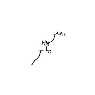 CCC[CH]C(=O)NCCO